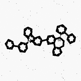 c1ccc(-c2cccc(-n3c4ccccc4c4cc(-c5ccc6c(c5)-c5ccccc5CC[C@H]6c5ccccc5-c5ccccc5)ccc43)c2)cc1